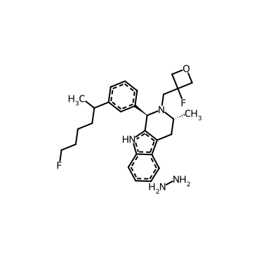 CC(CCCCF)c1cccc([C@@H]2c3[nH]c4ccccc4c3C[C@@H](C)N2CC2(F)COC2)c1.NN